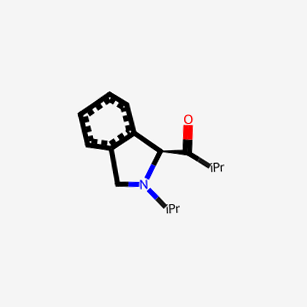 CC(C)C(=O)[C@@H]1c2ccccc2CN1C(C)C